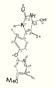 COc1cc(Oc2ccc(C3=C(C)C(O)NC(=O)N3C)c(C)c2)ncc1C